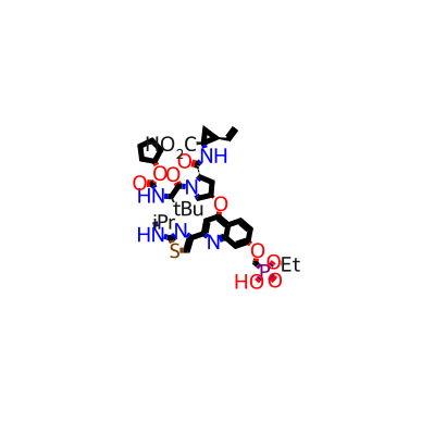 C=C[C@@H]1C[C@]1(NC(=O)[C@@H]1C[C@@H](Oc2cc(-c3csc(NC(C)C)n3)nc3cc(OCP(=O)(O)OCC)ccc23)CN1C(=O)[C@@H](NC(=O)OC1CCCC1)C(C)(C)C)C(=O)O